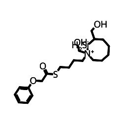 O=C(COc1ccccc1)SCCCC[N+]1(CO)CCCCCC(CO)[SiH2]1